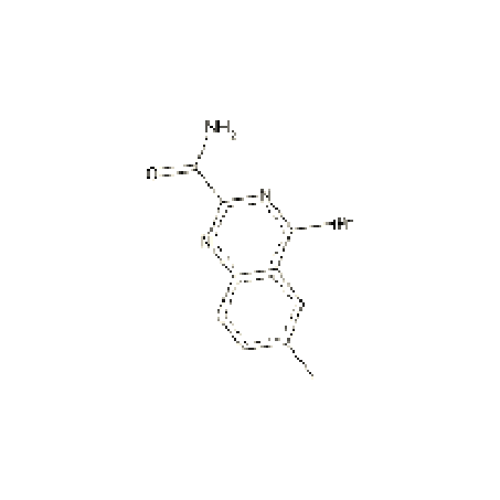 Cc1ccc2nc(C(N)=O)nc(C(C)C)c2c1